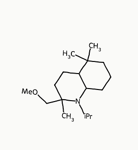 COCC1(C)CCC2C(CCCC2(C)C)N1C(C)C